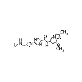 COc1cc(NC(=O)c2cnc(N3CC(CNC4CC4)C3)cn2)cn2cc(C)nc12